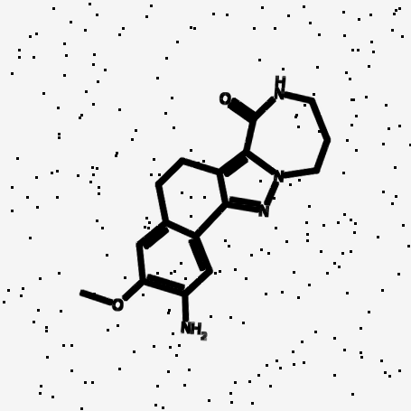 COc1cc2c(cc1N)-c1nn3c(c1CC2)C(=O)NCCC3